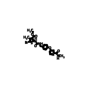 CCOC(=O)c1c(NC(=O)NCc2ccc(Oc3ccnc(C(=O)NC)c3)cc2)sc(Br)c1C